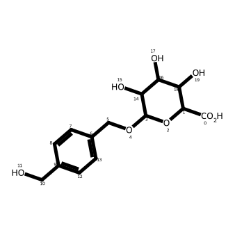 O=C(O)C1OC(OCc2ccc(CO)cc2)C(O)C(O)C1O